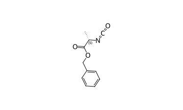 C[C@H](N=C=O)C(=O)OCc1ccccc1